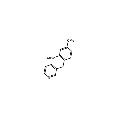 COc1ccc(Cc2cccnc2)c(OC)c1